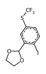 FC(F)(F)Sc1ccc(I)c(C2OCCO2)c1